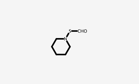 O=CSN1CCCCC1